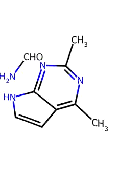 Cc1nc(C)c2cc[nH]c2n1.NC=O